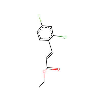 CCOC(=O)C=Cc1c[c]c(F)cc1Cl